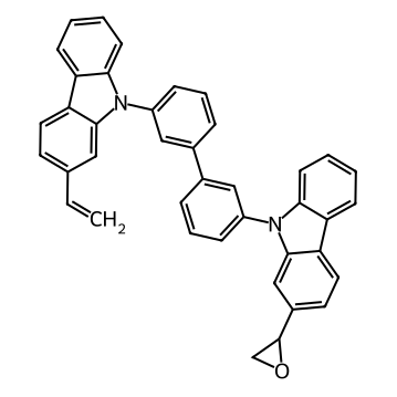 C=Cc1ccc2c3ccccc3n(-c3cccc(-c4cccc(-n5c6ccccc6c6ccc(C7CO7)cc65)c4)c3)c2c1